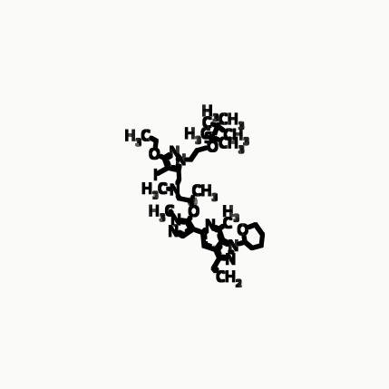 C=Cc1nn(C2CCCCO2)c2c(C)nc(-c3cnn(C)c3O[C@H](C)CN(C)Cc3c(I)c(OCC)nn3CCO[Si](C)(C)C(C)(C)C)cc12